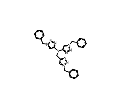 c1ccc(Cn2cc(CN(c3cn(Cc4ccccc4)nn3)c3cn(Cc4ccccc4)nn3)nn2)cc1